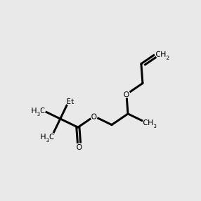 C=CCOC(C)COC(=O)C(C)(C)CC